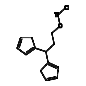 [Cl][Ti][O]CCC(C1=CC=CC1)C1=CC=CC1